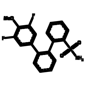 COc1c(F)cc(-c2ccccc2-c2ccccc2S(N)(=O)=O)cc1F